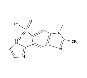 CCS(=O)(=O)c1cc2c(cc1-c1ncc[nH]1)nc(C(F)(F)F)n2C